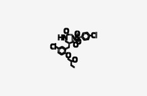 CCC(=O)COc1ccc(Cl)cc1CC1CNC(=O)CN(S(=O)(=O)c2ccc(Cl)cc2)C1=O